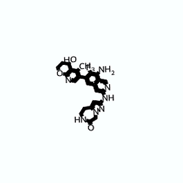 Cc1c(-c2cc3cc(Nc4cc5n(n4)CC(=O)NCC5)ncc3c(N)c2F)cnc2c1[C@H](O)CCO2